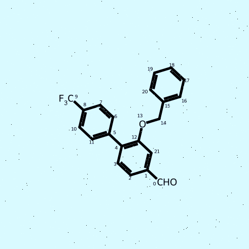 O=Cc1ccc(-c2ccc(C(F)(F)F)cc2)c(OCc2ccccc2)c1